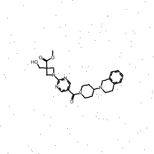 COC(=O)C1(CO)CN(c2ncc(C(=O)N3CCC(N4CCc5ccccc5C4)CC3)cn2)C1